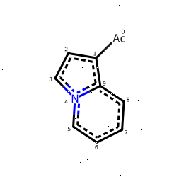 CC(=O)c1ccn2ccccc12